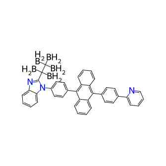 BC(B)(B)C(B)(B)c1nc2ccccc2n1-c1ccc(-c2c3ccccc3c(-c3ccc(-c4ccccn4)cc3)c3ccccc23)cc1